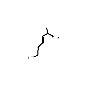 CC(N)C=CCCO